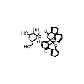 O=C1CC(c2ccccc2)(C2(c3ccccc3)CC(=O)c3ccccc3O2)Oc2ccccc21.OC[C@H]1OC(O)[C@H](O)[C@@H](O)[C@@H]1O